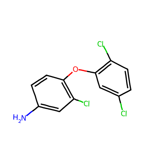 Nc1ccc(Oc2cc(Cl)ccc2Cl)c(Cl)c1